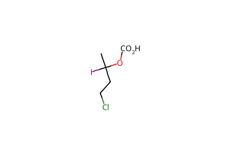 CC(I)(CCCl)OC(=O)O